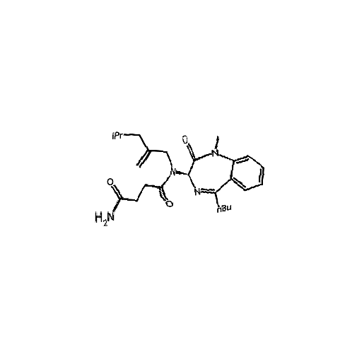 C=C(CC(C)C)CN(C(=O)CCC(N)=O)[C@@H]1N=C(CCCC)c2ccccc2N(C)C1=O